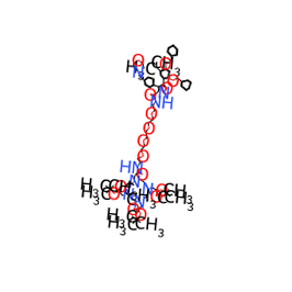 CC(C)c1cc(-c2onc(C(=O)NCCOCCOCCOCCOCCNC(=O)CN3CCN(CC(=O)OC(C)(C)C)CCN(CC(=O)OC(C)(C)C)CCN(CC(=O)OC(C)(C)C)CC3)c2-c2ccc(CN3CCOCC3)cc2)c(OCc2ccccc2)cc1OCc1ccccc1